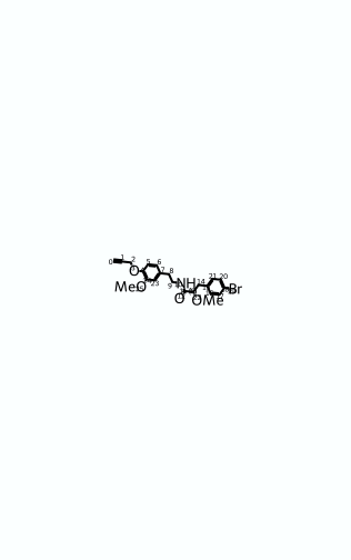 C#CCOc1ccc(CCNC(=O)[C@H](Cc2ccc(Br)cc2)OC)cc1OC